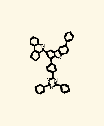 C1=CCC(c2nc(-c3ccccc3)nc(-c3ccc(-c4cc(-c5nc6ccccc6c6c5CCC=C6)cc5c4sc4ccc(-c6ccccc6)cc45)cc3)n2)C=C1